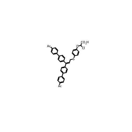 CC(=O)c1ccc(-c2ccc(C(=CCSc3ccc(OC(Cl)C(=O)O)cc3)c3ccc(-c4ccc(C(C)=O)cc4)cc3)cc2)cc1